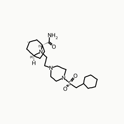 NC(=O)[C@]12C[CH]C[C@H](CC1)N2CCN1CCN(S(=O)(=O)CC2CCCCC2)CC1